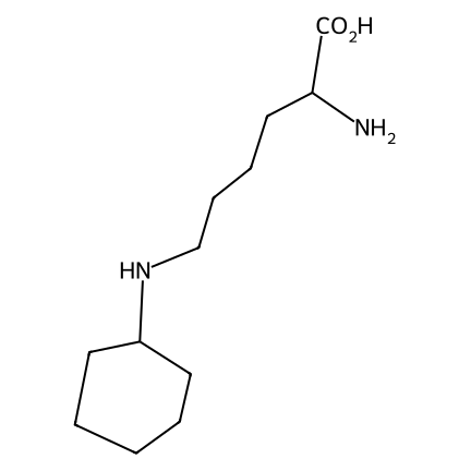 NC(CCCCNC1CCCCC1)C(=O)O